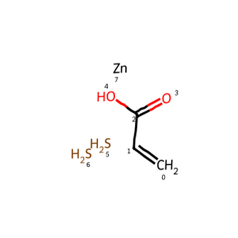 C=CC(=O)O.S.S.[Zn]